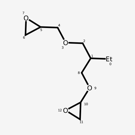 CCC(COCC1CO1)COC1CO1